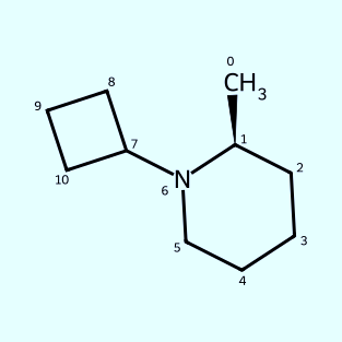 C[C@H]1CCCCN1C1CCC1